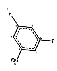 CCC(C)c1cc(F)cc(F)c1